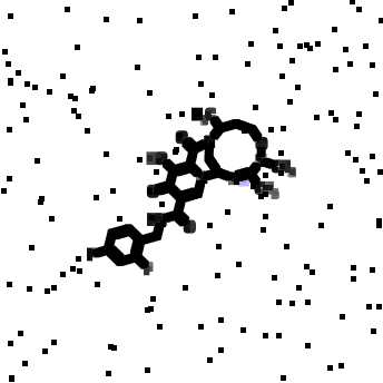 C/C1=N/C2CN(C(=O)c3c(O)c(=O)c(C(=O)NCc4ccc(F)cc4F)cn32)C(C)CCON1C